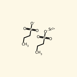 CCCS(=O)(=O)[O-].CCCS(=O)(=O)[O-].[Sr+2]